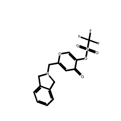 O=c1cc(CN2Cc3ccccc3C2)occ1OS(=O)(=O)C(F)(F)F